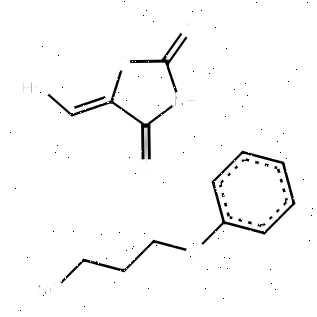 N#CCCCOc1ccccc1.O=C1NC(=S)SC1=CO